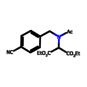 CCOC(=O)C(C(=O)OCC)N(Cc1ccc(C#N)cc1)C(C)=O